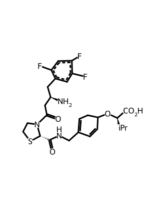 CC(C)[C@@H](OC1C=CC(CNC(=O)[C@@H]2SCCN2C(=O)C[C@H](N)Cc2cc(F)c(F)cc2F)=CC1)C(=O)O